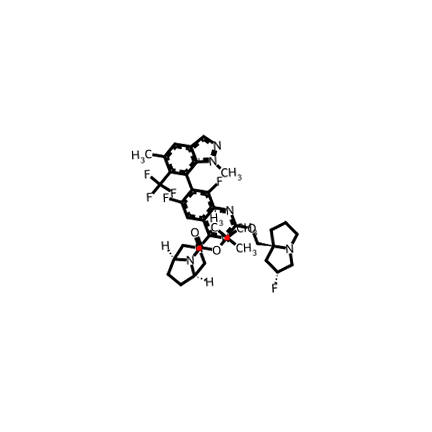 Cc1cc2cnn(C)c2c(-c2c(F)cc3c(N4C[C@H]5CC[C@@H](C4)N5C(=O)OC(C)(C)C)nc(OC[C@@]45CCCN4C[C@H](F)C5)nc3c2F)c1C(F)(F)F